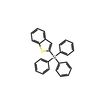 c1ccc([Si](c2ccccc2)(c2ccccc2)c2cc3ccccc3s2)cc1